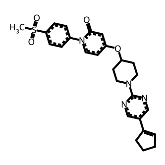 CS(=O)(=O)c1ccc(-n2ccc(OC3CCN(c4ncc(C5=CCCC5)cn4)CC3)cc2=O)cc1